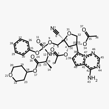 CC(=O)O[C@@H]1[C@@](C#N)(COP(=O)(N[C@@H](C)C(=O)OC2CCOCC2)Oc2ccccc2)OC[C@@]1(OC(C)=O)c1ccc2c(N)ncnn12